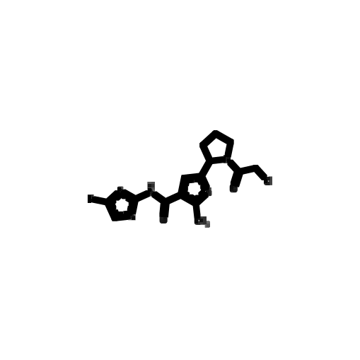 Cc1sc(C2CCCN2C(=O)CCl)cc1C(=O)Nc1ncc(F)s1